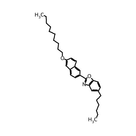 CCCCCCCCCCOc1ccc2cc(-c3nc4cc(CCCCCC)ccc4o3)ccc2c1